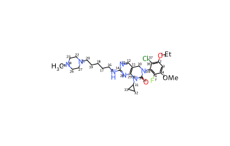 CCOc1cc(OC)c(F)c(N2Cc3cnc(NCCCCCN4CCN(C)CC4)nc3N(C3CC3)C2=O)c1Cl